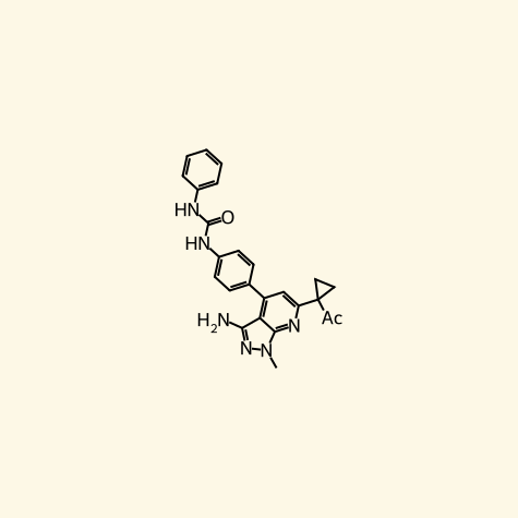 CC(=O)C1(c2cc(-c3ccc(NC(=O)Nc4ccccc4)cc3)c3c(N)nn(C)c3n2)CC1